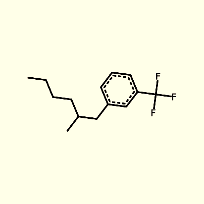 CCCCC(C)Cc1cccc(C(F)(F)F)c1